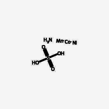 N.O=S(=O)(O)O.[Co].[Mn].[Ni]